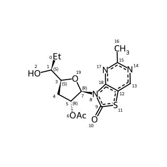 CC[C@H](O)[C@@H]1C[C@@H](OC(C)=O)[C@H](n2c(=O)sc3cnc(C)nc32)O1